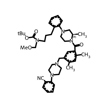 COCN(CCCc1ccccc1N1CCN(C(=O)c2cc(CN3CCN(c4ccccc4C#N)CC3)c(C)cc2C)[C@H](C)C1)C(=O)OC(C)(C)C